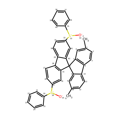 Cc1ccc2c(c1)C1(c3cc(C)ccc3-2)c2cc([S+]([O-])c3ccccc3)ccc2-c2ccc([S+]([O-])c3ccccc3)cc21